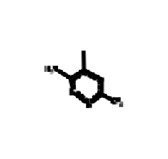 Cc1cc(C(F)(F)F)nnc1N